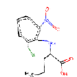 CCCC(Nc1c(Br)cccc1[N+](=O)[O-])C(=O)O